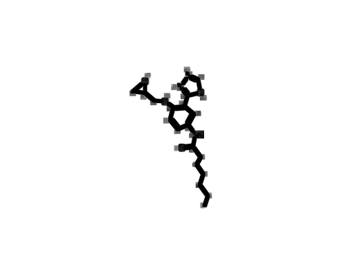 CCCCCCC(=O)Nc1ccc(OCC2CO2)c(-c2nnco2)c1